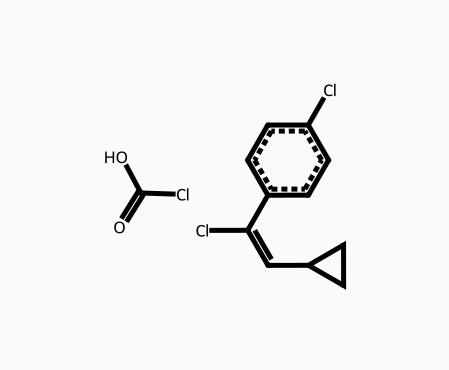 Cl/C(=C/C1CC1)c1ccc(Cl)cc1.O=C(O)Cl